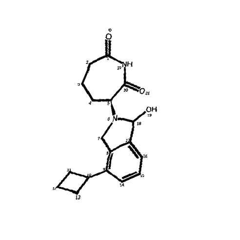 O=C1CCC[C@H](N2Cc3c(C4CCC4)cccc3C2O)C(=O)N1